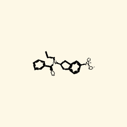 CCCN(C(=O)c1ccccc1)C1Cc2ccc([N+](=O)[O-])cc2C1